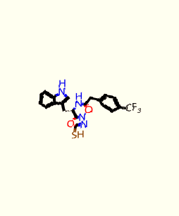 O=C(Cc1ccc(C(F)(F)F)cc1)N[C@@H](Cc1c[nH]c2ccccc12)c1nnc(S)o1